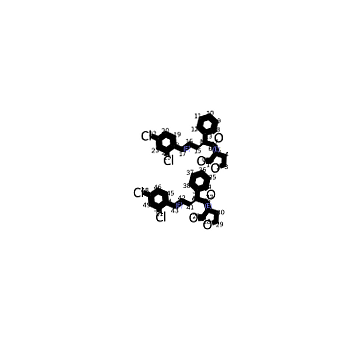 O=C1OCC/C1=C1\Oc2ccccc2[C@@H]1C/C=C/c1ccc(Cl)cc1Cl.O=C1OCC/C1=C1\Oc2ccccc2[C@@H]1C/C=C/c1ccc(Cl)cc1Cl